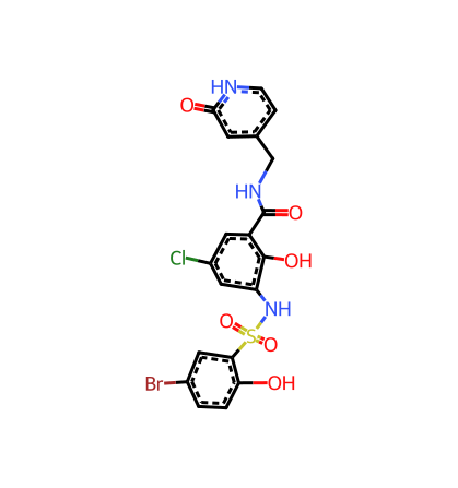 O=C(NCc1cc[nH]c(=O)c1)c1cc(Cl)cc(NS(=O)(=O)c2cc(Br)ccc2O)c1O